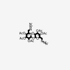 CC(=O)OC1C(OC(C)=O)[C@@H](OC(C)=O)C(CN=[N+]=[N-])O[C@H]1O[C@H]1OC(CN=[N+]=[N-])[C@@H](OC(C)=O)[C@H](OC(C)=O)C1OC(C)=O